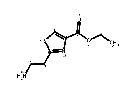 CCOC(=O)c1csc(CCN)n1